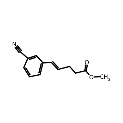 COC(=O)CCC=Cc1cccc(C#N)c1